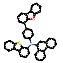 c1ccc2c(c1)cc(N(c1ccc(-c3cccc4c3oc3ccccc34)cc1)c1cccc3c1sc1ccccc13)c1ccccc12